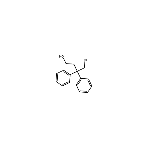 OCCC(CO)(c1ccccc1)c1ccccc1